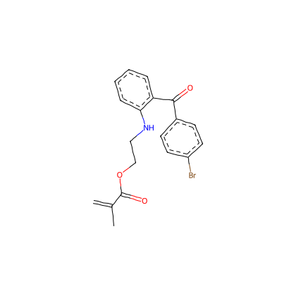 C=C(C)C(=O)OCCNc1ccccc1C(=O)c1ccc(Br)cc1